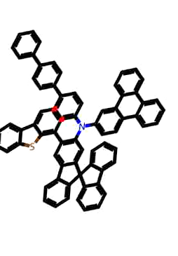 c1ccc(-c2ccc(-c3ccc(N(c4ccc5c6ccccc6c6ccccc6c5c4)c4cc5c(cc4-c4cccc6c4sc4ccccc46)-c4ccccc4C54c5ccccc5-c5ccccc54)cc3)cc2)cc1